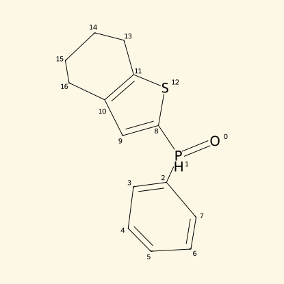 O=[PH](c1ccccc1)c1cc2c(s1)CCCC2